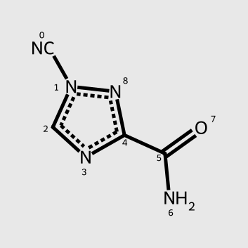 N#Cn1cnc(C(N)=O)n1